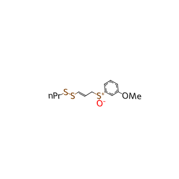 CCCSSC=CC[S+]([O-])c1cccc(OC)c1